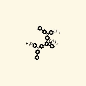 Cc1ccc(N(c2ccc(-c3ccccc3)cc2)c2ccc(-c3cc(-c4ccc(N(c5ccc(C)cc5)c5ccc(-c6ccccc6)cc5)cc4)c4c(c3)-c3ccccc3C4(C)C)cc2)cc1